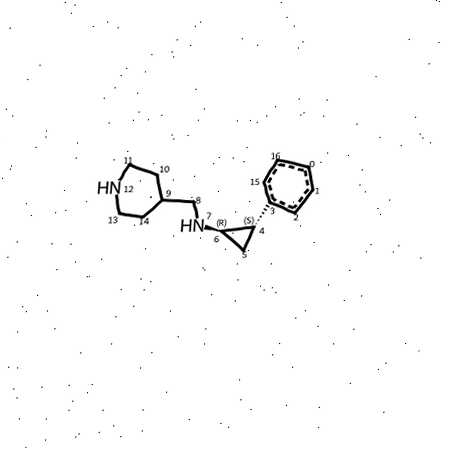 c1ccc([C@@H]2C[C@H]2NCC2CCNCC2)cc1